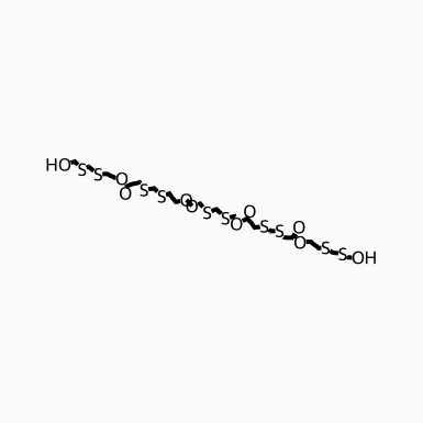 O=C(CSCSCCOOCSCSCOC(=O)CSCSCC(=O)OCCSCSCO)OCCSCSCO